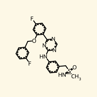 C[S@@](=N)(=O)Cc1cccc(Nc2ncnc(-c3ccc(F)cc3OCc3cccc(F)c3)n2)c1